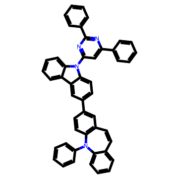 C1=Cc2cc(-c3ccc4c(c3)c3ccccc3n4-c3cc(-c4ccccc4)nc(-c4ccccc4)n3)ccc2N(c2ccccc2)c2ccccc21